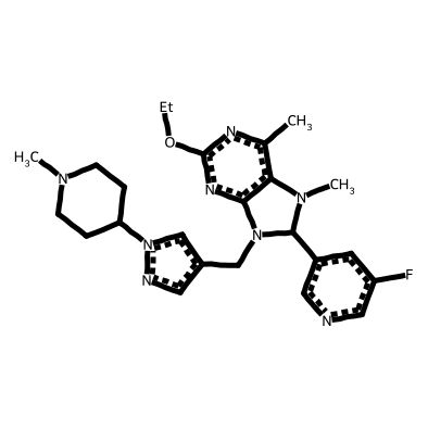 CCOc1nc(C)c2c(n1)N(Cc1cnn(C3CCN(C)CC3)c1)C(c1cncc(F)c1)N2C